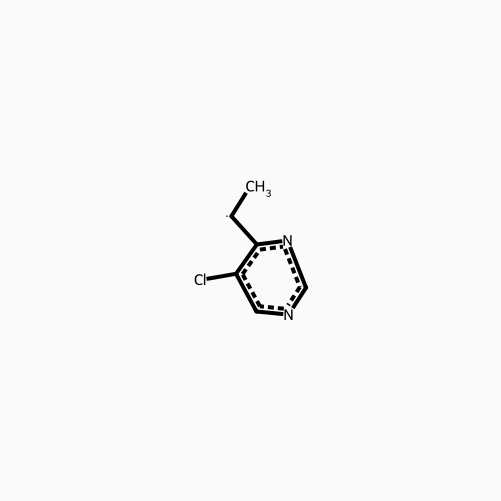 C[CH]c1ncncc1Cl